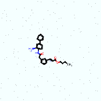 CCCCOC(=O)/C=C/c1cccc(CC(=O)Nc2ccc(-c3ccccc3)cc2N)c1